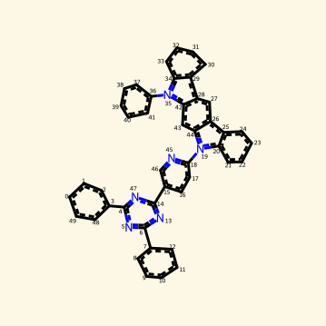 c1ccc(-c2nc(-c3ccccc3)nc(-c3ccc(-n4c5ccccc5c5cc6c7ccccc7n(-c7ccccc7)c6cc54)nc3)n2)cc1